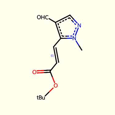 Cn1ncc(C=O)c1/C=C/C(=O)OC(C)(C)C